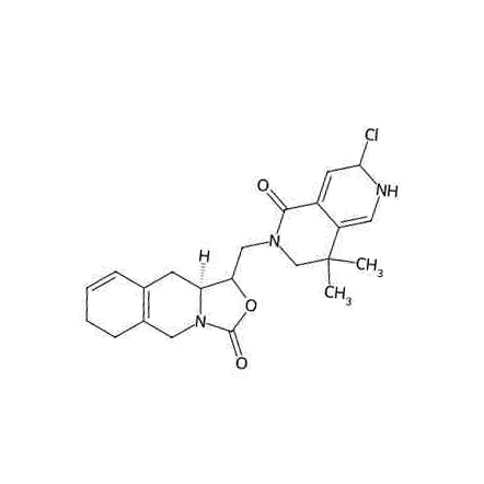 CC1(C)CN(CC2OC(=O)N3CC4=C(C=CCC4)C[C@@H]23)C(=O)C2=CC(Cl)NC=C21